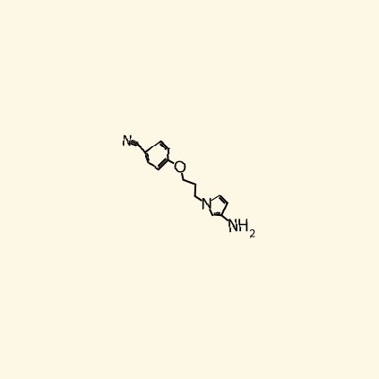 N#Cc1ccc(OCCCn2ccc(N)c2)cc1